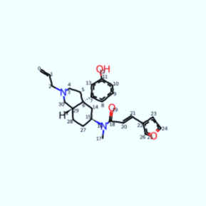 C=CCN1CC[C@@]2(c3cccc(O)c3)C[C@@H](N(C)C(=O)/C=C/c3ccoc3)CC[C@@H]2C1